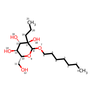 CCCCCCCOC1O[C@H](CO)[C@@H](O)[C@H](O)[C@]1(O)CCC